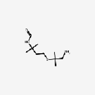 CC(C)(CCOC(C)(C)CN)NC=O